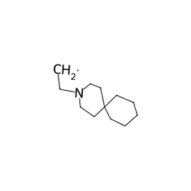 [CH2]CN1CCC2(CCCCC2)CC1